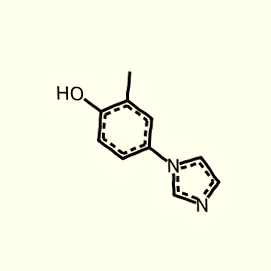 Cc1cc(-n2ccnc2)ccc1O